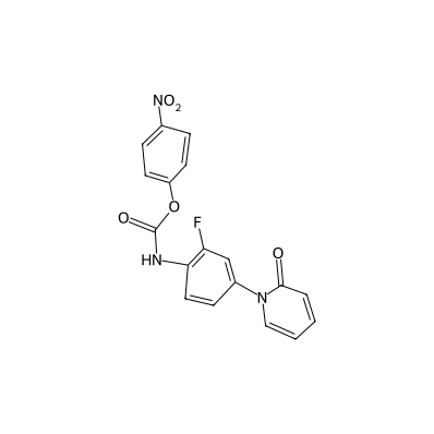 O=C(Nc1ccc(-n2ccccc2=O)cc1F)Oc1ccc([N+](=O)[O-])cc1